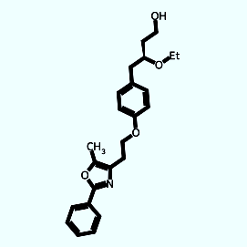 CCO[C@H](CCO)Cc1ccc(OCCc2nc(-c3ccccc3)oc2C)cc1